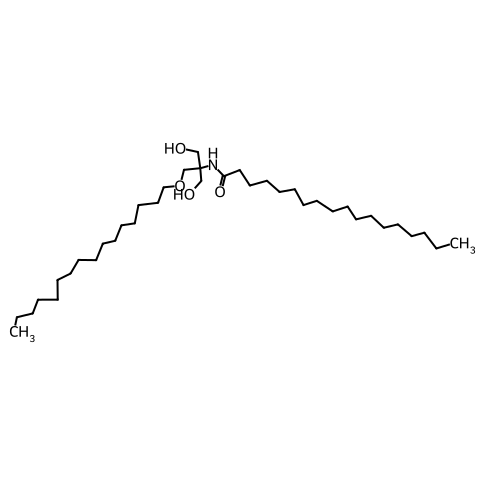 CCCCCCCCCCCCCCCCCC(=O)NC(CO)(CO)COCCCCCCCCCCCCCCCC